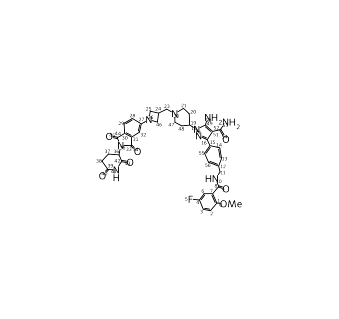 COc1ccc(F)cc1C(=O)NCc1ccc(-c2nn(C3CCN(CC4CN(c5ccc6c(c5)C(=O)N(C5CCC(=O)NC5=O)C6=O)C4)CC3)c(N)c2C(N)=O)cc1